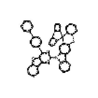 c1ccc(-c2ccc(-c3nc(-n4c5ccccc5c5cc6c(cc54)C4(c5ccccc5S6)c5ccccc5-c5ccccc54)nc4c3sc3ccccc34)cc2)cc1